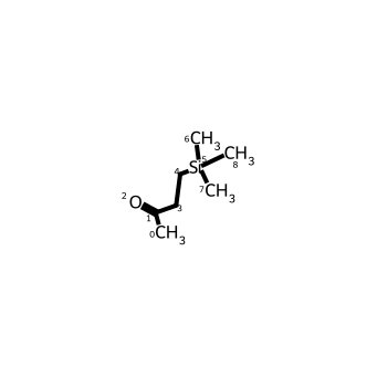 CC(=O)CC[Si](C)(C)C